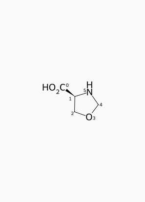 O=C(O)[C@@H]1COCN1